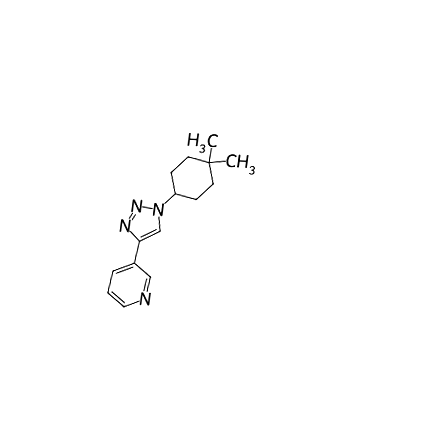 CC1(C)CCC(n2cc(-c3cccnc3)nn2)CC1